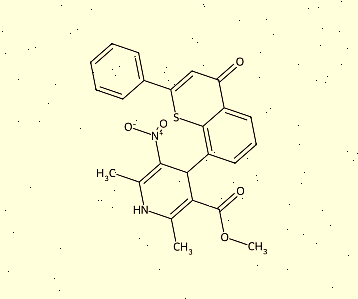 COC(=O)C1=C(C)NC(C)=C([N+](=O)[O-])C1c1cccc2c(=O)cc(-c3ccccc3)sc12